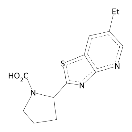 CCc1cnc2nc(C3CCCN3C(=O)O)sc2c1